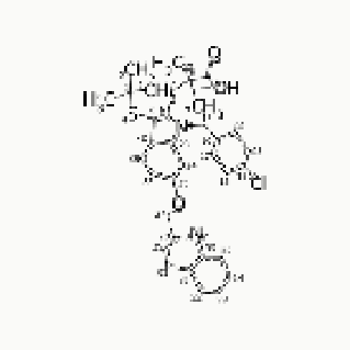 CC(C)(C)Sc1c(CC(C)(C)C(=O)O)n(Cc2ccc(Cl)cc2)c2cc(OCc3ccc4ccccc4n3)ccc12